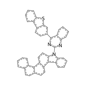 c1ccc2c(c1)ccc1ccc3c(ccc4c3c3ccccc3n4-c3nc(-c4ccc5c(c4)sc4ccccc45)c4ccccc4n3)c12